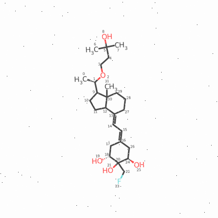 C[C@@H](OCCC(C)(C)O)C1CCC2/C(=C/C=C3C[C@@H](O)C(O)(CF)[C@H](O)C3)CCCC21C